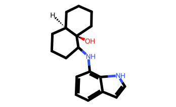 O[C@]12CCCC[C@@H]1CCCC2Nc1cccc2cc[nH]c12